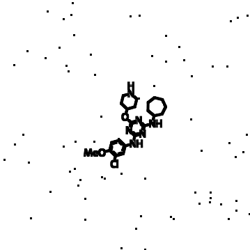 COc1ccc(Nc2nc(NC3CCCCCC3)nc(OC3CCNCC3)n2)cc1Cl